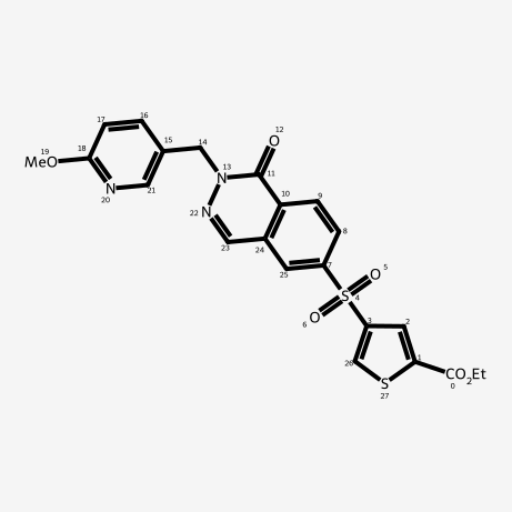 CCOC(=O)c1cc(S(=O)(=O)c2ccc3c(=O)n(Cc4ccc(OC)nc4)ncc3c2)cs1